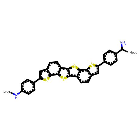 CCCCCCCCNc1ccc(-c2cc3ccc4c(sc5c6ccc7cc(-c8ccc(C(N)CCCCCCC)cc8)sc7c6sc45)c3s2)cc1